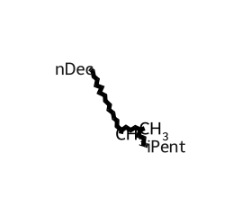 CCCCCCCCCCCCCCCCCCCCCCCCC(C)CCCC(C)CCCC(C)CCC